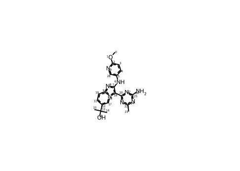 COc1ccc(Nc2nc3ccc(C(C)(C)O)cn3c2-c2nc(C)nc(N)n2)cn1